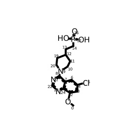 COc1cc(Cl)cc2c(N3CCC(CCP(=O)(O)O)CC3)ncnc12